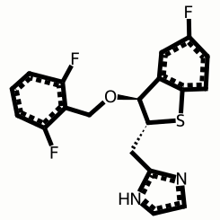 Fc1ccc2c(c1)[C@H](OCc1c(F)cccc1F)[C@@H](Cc1ncc[nH]1)S2